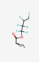 C=CC(=O)OC(F)(F)C(F)(F)C(F)CF